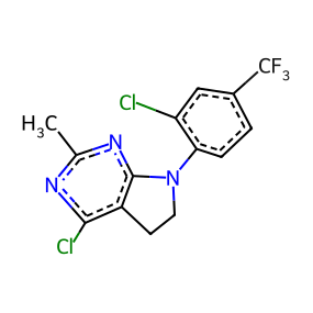 Cc1nc(Cl)c2c(n1)N(c1ccc(C(F)(F)F)cc1Cl)CC2